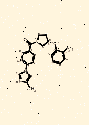 Cc1cn(-c2ccc(C(=O)N3CC[C@H](Oc4ccccc4C(F)(F)F)C3)nn2)cn1